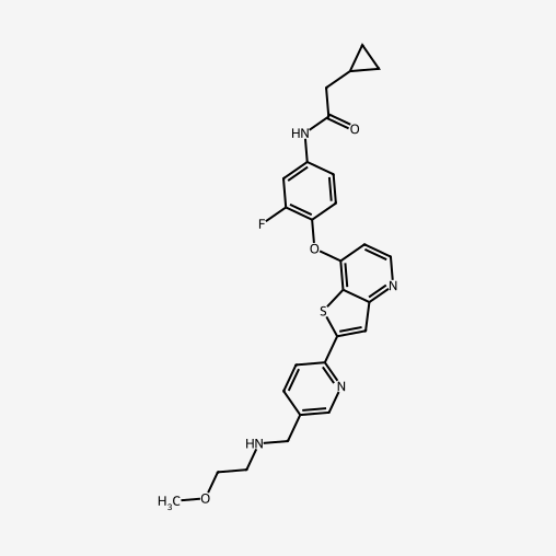 COCCNCc1ccc(-c2cc3nccc(Oc4ccc(NC(=O)CC5CC5)cc4F)c3s2)nc1